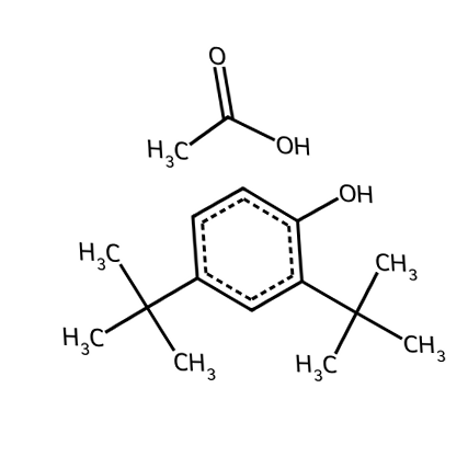 CC(=O)O.CC(C)(C)c1ccc(O)c(C(C)(C)C)c1